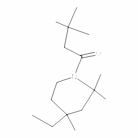 CCC1(C)CCN(C(=O)CC(C)(C)C)C(C)(C)C1